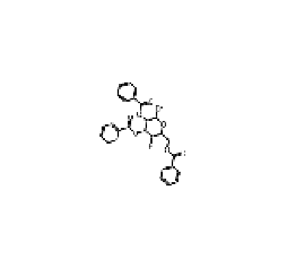 O=C(OC1C(F)C(COC(=O)c2ccccc2)OC(Br)C1OC(=O)c1ccccc1)C1=CC=CCC1